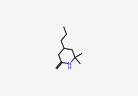 C=C1CC(CCC)CC(C)(C)N1